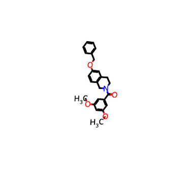 COc1cc(OC)cc(C(=O)N2CCc3cc(OCc4ccccc4)ccc3C2)c1